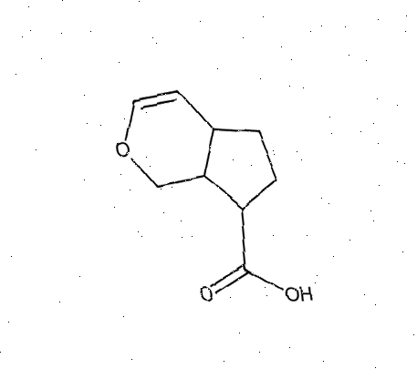 O=C(O)C1CCC2C=COCC21